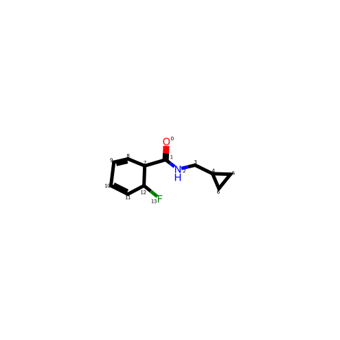 O=C(NCC1CC1)C1C=CC=CC1F